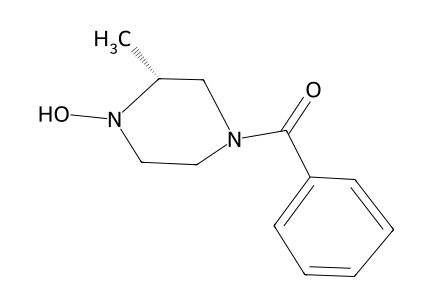 C[C@@H]1CN(C(=O)c2ccccc2)CCN1O